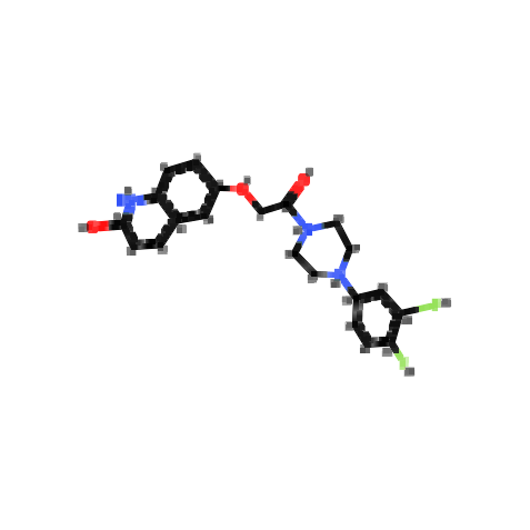 O=C(COc1ccc2[nH]c(=O)ccc2c1)N1CCN(c2ccc(F)c(F)c2)CC1